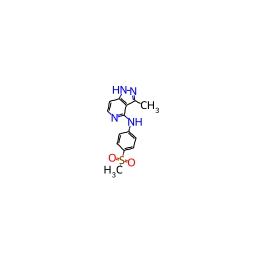 Cc1n[nH]c2ccnc(Nc3ccc(S(C)(=O)=O)cc3)c12